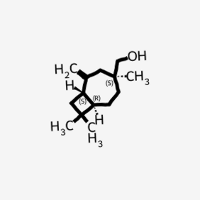 C=C1C[C@@](C)(CO)CC[C@@H]2[C@@H]1CC2(C)C